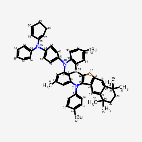 Cc1cc2c3c(c1)N(c1ccc(C(C)(C)C)cc1)c1c(sc4cc5c(cc14)C(C)(C)CCC5(C)C)B3c1cc(C(C)(C)C)ccc1N2c1ccc(N(C2=CCCC=C2)c2ccccc2)cc1